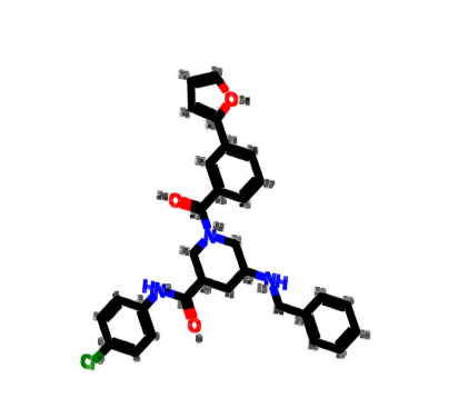 O=C(Nc1ccc(Cl)cc1)C1CC(NCc2ccccc2)CN(C(=O)c2cccc(-c3ccco3)c2)C1